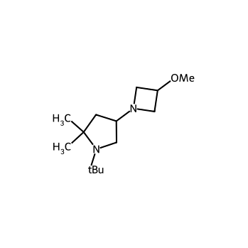 COC1CN(C2CN(C(C)(C)C)C(C)(C)C2)C1